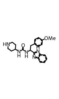 COc1ccc(CC(NC(=O)NC2CCNCC2)c2nc3ccccc3[nH]2)cc1